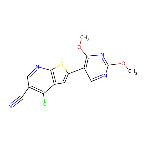 COc1ncc(-c2cc3c(Cl)c(C#N)cnc3s2)c(OC)n1